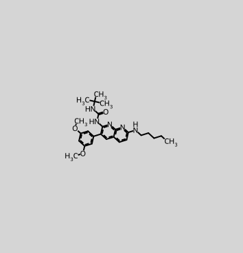 CCCCCNc1ccc2cc(-c3cc(OC)cc(OC)c3)c(NC(=O)NC(C)(C)C)nc2n1